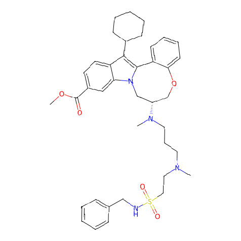 COC(=O)c1ccc2c(C3CCCCC3)c3n(c2c1)C[C@@H](N(C)CCCN(C)CCS(=O)(=O)NCc1ccccc1)COc1ccccc1-3